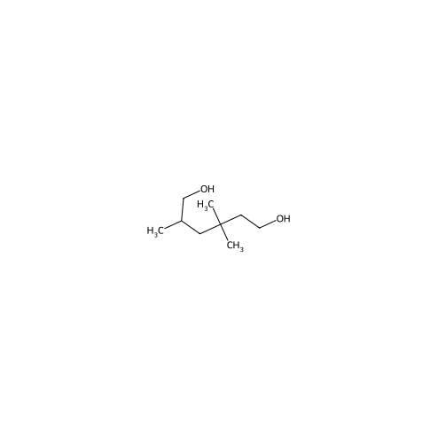 CC(CO)CC(C)(C)CCO